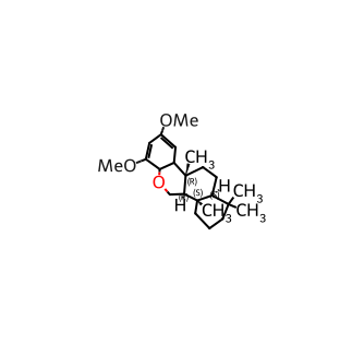 COC1=CC2C(OC[C@@H]3[C@@]4(C)CCCC(C)(C)[C@@H]4CC[C@@]23C)C(OC)=C1